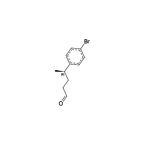 C[C@H](CCC=O)c1ccc(Br)cc1